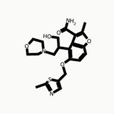 Cc1ncc(COc2ccc3oc(C)c(C(N)=O)c3c2C(CO)CN2CCOCC2)s1